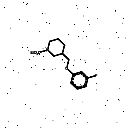 CCOC(=O)N1CCCC(COc2cccc(F)c2)C1